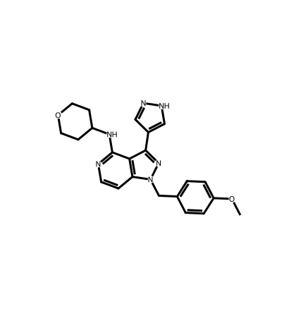 COc1ccc(Cn2nc(-c3cn[nH]c3)c3c(NC4CCOCC4)nccc32)cc1